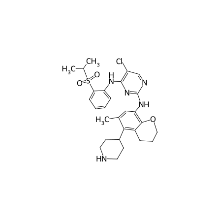 Cc1cc(Nc2ncc(Cl)c(Nc3ccccc3S(=O)(=O)C(C)C)n2)c2c(c1C1CCNCC1)CCCO2